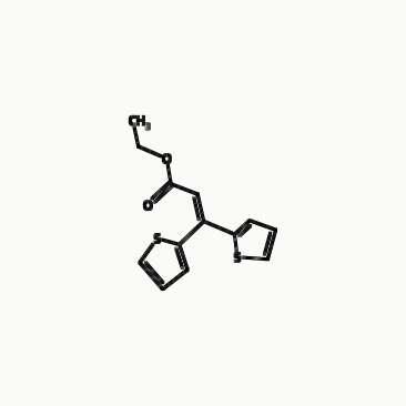 CCOC(=O)C=C(c1cccs1)c1cccs1